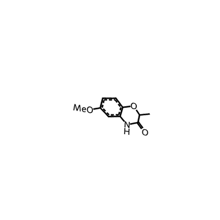 COc1ccc2c(c1)NC(=O)C(C)O2